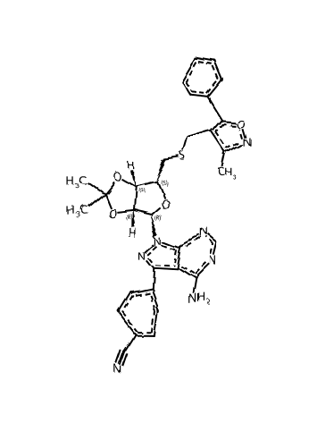 Cc1noc(-c2ccccc2)c1CSC[C@H]1O[C@@H](n2nc(-c3ccc(C#N)cc3)c3c(N)ncnc32)[C@@H]2OC(C)(C)O[C@@H]21